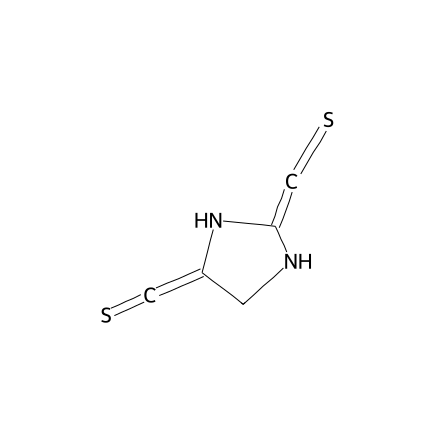 S=C=C1CNC(=C=S)N1